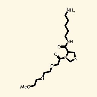 COCCOCCOCC(=O)N1CSCC1C(=O)NCCCCCN